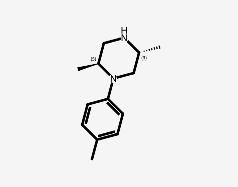 Cc1ccc(N2C[C@@H](C)NC[C@@H]2C)cc1